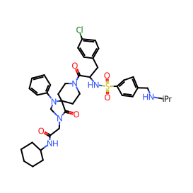 CC(C)NCc1ccc(S(=O)(=O)NC(Cc2ccc(Cl)cc2)C(=O)N2CCC3(CC2)C(=O)N(CC(=O)NC2CCCCC2)CN3c2ccccc2)cc1